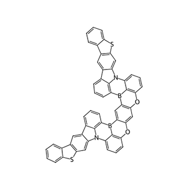 c1cc2c3c(c1)-n1c4cc5sc6ccccc6c5cc4c4cccc(c41)B3c1cc3c(cc1O2)Oc1cccc2c1B3c1cccc3c4cc5c(cc4n-2c13)sc1ccccc15